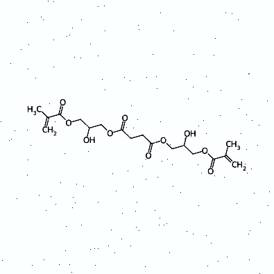 C=C(C)C(=O)OCC(O)COC(=O)CCC(=O)OCC(O)COC(=O)C(=C)C